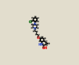 OC1Nc2cc(OCCCCN3CCN(c4ccccc4Cl)CC3)ccc2C2CC12